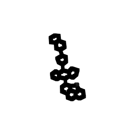 c1ccc2cc(-c3ccc(-c4c5ccccc5c(-c5ccc6ccc7cccc8oc5c6c78)c5ccccc45)cc3)ccc2c1